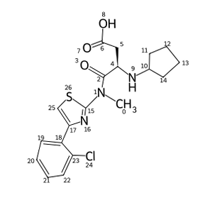 CN(C(=O)[C@@H](CC(=O)O)NC1CCCC1)c1nc(-c2ccccc2Cl)cs1